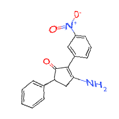 NC1=C(c2cccc([N+](=O)[O-])c2)C(=O)C(c2ccccc2)C1